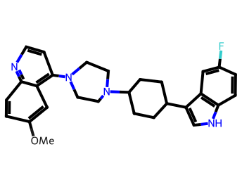 COc1ccc2nccc(N3CCN(C4CCC(c5c[nH]c6ccc(F)cc56)CC4)CC3)c2c1